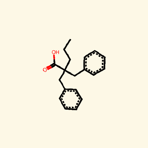 CCCC(Cc1ccccc1)(Cc1ccccc1)C(=O)O